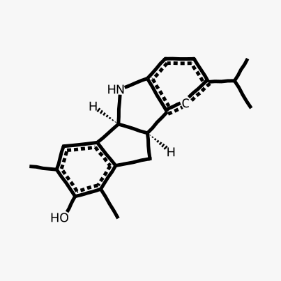 Cc1cc2c(c(C)c1O)C[C@@H]1c3cc(C(C)C)ccc3N[C@H]21